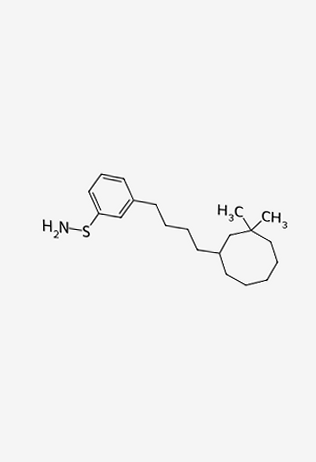 CC1(C)CCCCCC(CCCCc2cccc(SN)c2)C1